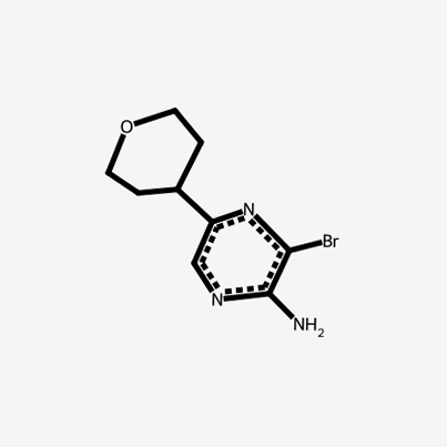 Nc1ncc(C2CCOCC2)nc1Br